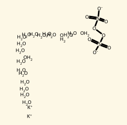 O.O.O.O.O.O.O.O.O.O.O.O.O.O.O.O.O.O.O.O.O=S(=O)([O-])OOS(=O)(=O)[O-].[K+].[K+]